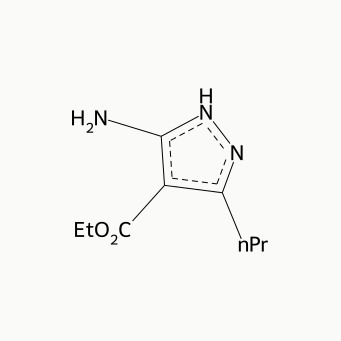 CCCc1n[nH]c(N)c1C(=O)OCC